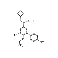 CC(C)c1ccc(-c2cc(C(CC3CCC3)C(=O)O)cc(Cl)c2OCC(F)(F)F)cc1